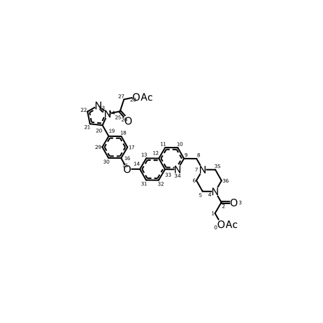 CC(=O)OCC(=O)N1CCN(Cc2ccc3cc(Oc4ccc(-c5ccnn5C(=O)COC(C)=O)cc4)ccc3n2)CC1